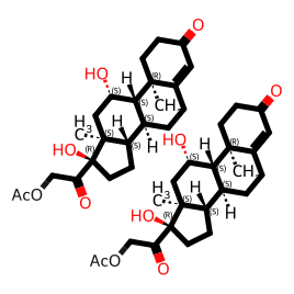 CC(=O)OCC(=O)[C@@]1(O)CC[C@H]2[C@@H]3CCC4=CC(=O)CC[C@]4(C)[C@H]3[C@@H](O)C[C@@]21C.CC(=O)OCC(=O)[C@@]1(O)CC[C@H]2[C@@H]3CCC4=CC(=O)CC[C@]4(C)[C@H]3[C@@H](O)C[C@@]21C